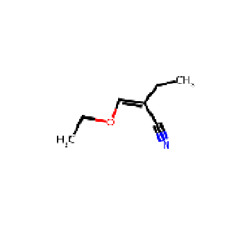 CCOC=C(C#N)CC